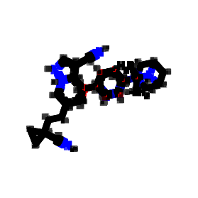 BC(B)(c1ccc(OC)nc1)N1C2CC1CN(c1ccc(-c3cc(CCC4(C#N)CC4)cn4ncc(C#N)c34)cn1)C2